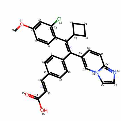 COc1ccc(/C(=C(\c2ccc(/C=C/C(=O)O)cc2)c2ccc3nccn3c2)C2CCC2)c(Cl)c1